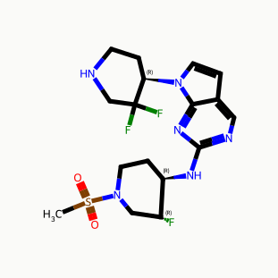 CS(=O)(=O)N1CC[C@@H](Nc2ncc3ccn([C@@H]4CCNCC4(F)F)c3n2)[C@H](F)C1